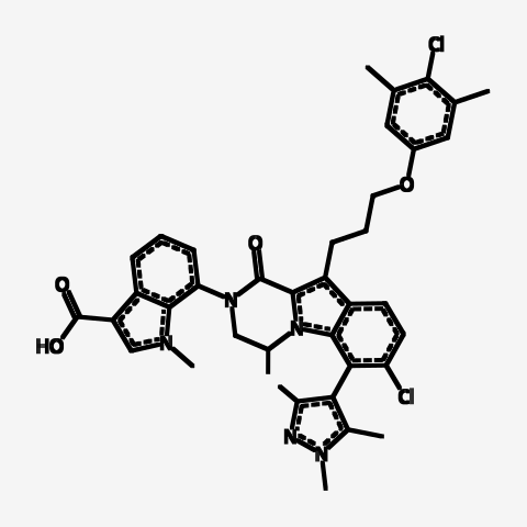 Cc1cc(OCCCc2c3n(c4c(-c5c(C)nn(C)c5C)c(Cl)ccc24)C(C)CN(c2cccc4c(C(=O)O)cn(C)c24)C3=O)cc(C)c1Cl